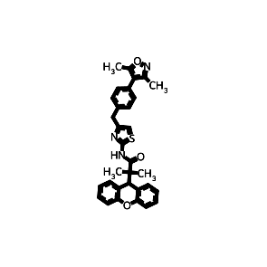 Cc1noc(C)c1-c1ccc(Cc2csc(NC(=O)C(C)(C)C3c4ccccc4Oc4ccccc43)n2)cc1